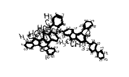 CC(C)(C)c1ccccc1N(c1ccc2c(c1)C(C)(C)c1cc(-c3ccc(-c4ccccc4)cc3)c3oc4ccccc4c3c1-2)c1ccc2c(c1)C(C)(C)c1c3c(c4oc5ccccc5c4c1-2)-c1ccccc1C3(C)C